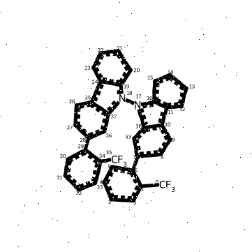 FC(F)(F)c1ccccc1-c1ccc2c3ccccc3n(-n3c4ccccc4c4ccc(-c5ccccc5C(F)(F)F)cc43)c2c1